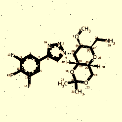 CO[C@@H]1[C@@H](n2cc(-c3cc(F)c(F)c(F)c3)nn2)[C@H]2OC(C)(C)OC[C@H]2O[C@@H]1CN